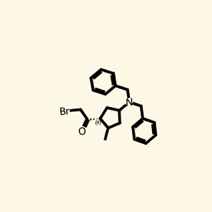 CC1CC(N(Cc2ccccc2)Cc2ccccc2)C[C@H]1C(=O)CBr